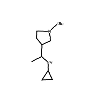 CC(NC1CC1)C1CCN(C(C)(C)C)C1